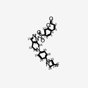 O=c1ccc2ccc(S(=O)(=O)n3ncc4c3CN(c3ccc(-n5cc(F)cn5)cc3)CC4)cc2o1